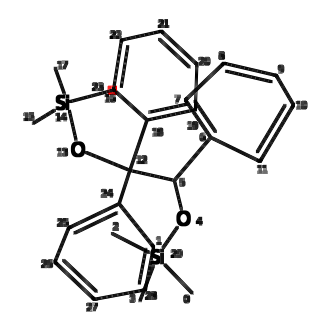 C[Si](C)(C)OC(c1ccccc1)C(O[Si](C)(C)C)(c1ccccc1)c1ccccc1